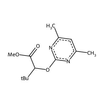 COC(=O)C(Oc1nc(C)cc(C)n1)C(C)(C)C